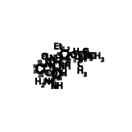 CCc1cc(OCC(C)(C)CN(C)C)c(F)c(C(Nc2ccc(C(=N)N)cc2)c2nn(-c3ccccc3C(=O)O)c(=O)[nH]2)c1